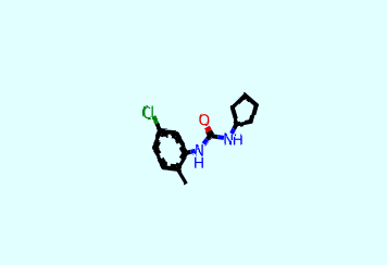 Cc1ccc(Cl)cc1NC(=O)NC1CCCC1